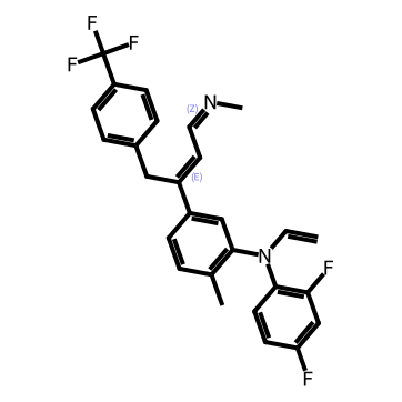 C=CN(c1cc(/C(=C/C=N\C)Cc2ccc(C(F)(F)F)cc2)ccc1C)c1ccc(F)cc1F